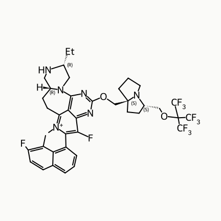 CC[C@@H]1CN2c3nc(OC[C@@]45CCCN4[C@H](COC(C(F)(F)F)(C(F)(F)F)C(F)(F)F)CC5)nc4c(F)c(-c5cccc6ccc(F)c(C)c56)[n+](C)c(c34)CC[C@@H]2CN1